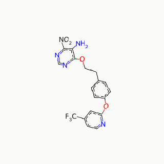 Nc1c(OCCc2ccc(Oc3cc(C(F)(F)F)ccn3)cc2)ncnc1[N+](=O)[O-]